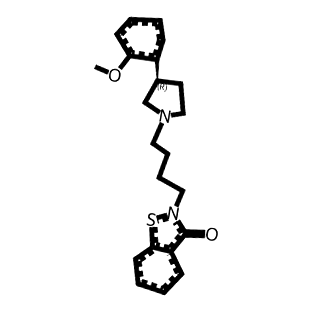 COc1ccccc1[C@H]1CCN(CCCCn2sc3ccccc3c2=O)C1